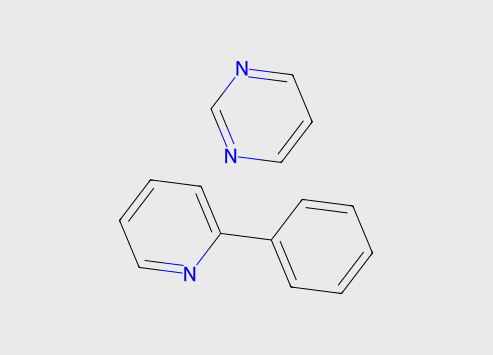 c1ccc(-c2ccccn2)cc1.c1cncnc1